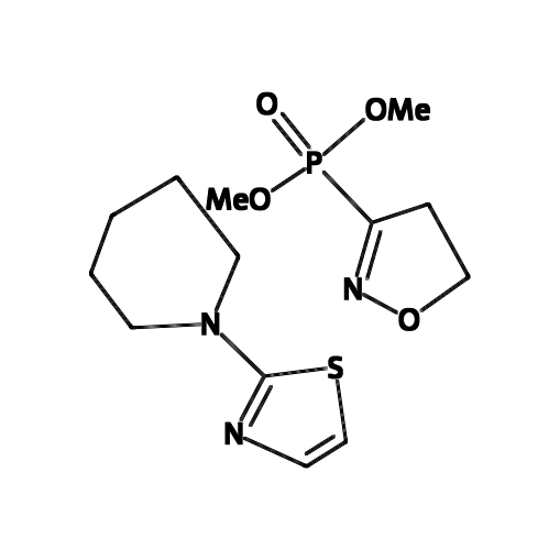 COP(=O)(OC)C1=NOCC1.c1csc(N2CCCCC2)n1